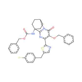 O=C(NC12CCC(CC1)Cn1c2nc(-c2ncc(Cc3ccc(F)cc3)s2)c(OCc2ccccc2)c1=O)OCc1ccccc1